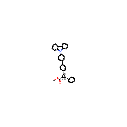 COC(=O)[C@@H]1[C@H](c2ccccc2)[C@H]1c1ccc(-c2ccc(-n3c4ccccc4c4ccccc43)cc2)cc1